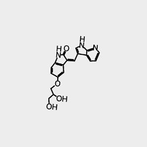 O=C1Nc2ccc(OCC(O)CO)cc2C1=Cc1c[nH]c2ncccc12